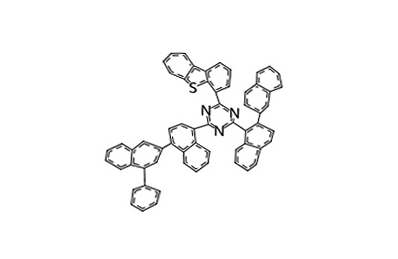 c1ccc(-c2cc(-c3ccc(-c4nc(-c5c(-c6ccc7ccccc7c6)ccc6ccccc56)nc(-c5cccc6c5sc5ccccc56)n4)c4ccccc34)cc3ccccc23)cc1